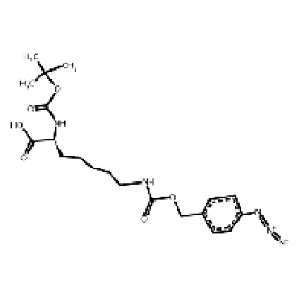 CC(C)(C)OC(=O)N[C@@H](CCCCCNC(=O)OCc1ccc(N=[N+]=[N-])cc1)C(=O)O